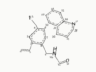 C=Cc1cc(F)ccc1CNC=O.c1ccc2ncccc2c1